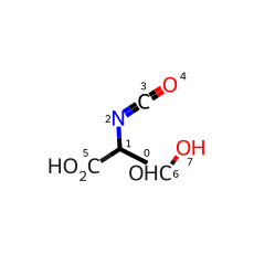 CC(N=C=O)C(=O)O.O=CO